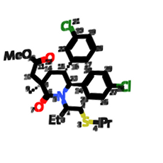 CCC(CSC(C)C)N1C(=O)[C@@](C)(CC(=O)OC)C[C@H](c2cccc(Cl)c2)[C@H]1c1ccc(Cl)cc1